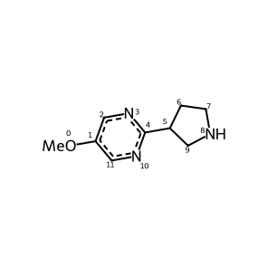 COc1cnc(C2CCNC2)nc1